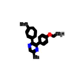 CCCCc1cnc(C2=CC=C(OC)CC=C2)c(-c2ccc(OCC(=O)O)cc2)n1